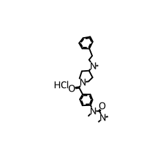 CN(C)C(=O)N(C)c1ccc(C(=O)N2CCC(N(C)CCc3ccccc3)CC2)cc1.Cl